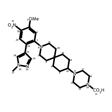 COc1cc(N2CCC3(CCC(N4CCN(C(=O)O)CC4)CC3)CC2)c(-c2cnn(C)c2)cc1[N+](=O)[O-]